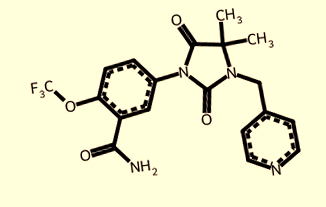 CC1(C)C(=O)N(c2ccc(OC(F)(F)F)c(C(N)=O)c2)C(=O)N1Cc1ccncc1